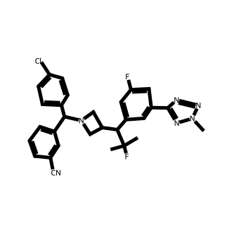 Cn1nnc(-c2cc(F)cc(C(C3CN(C(c4ccc(Cl)cc4)c4cccc(C#N)c4)C3)C(C)(C)F)c2)n1